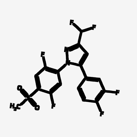 CS(=O)(=O)c1cc(F)c(-n2nc(C(F)F)cc2-c2ccc(F)c(F)c2)cc1F